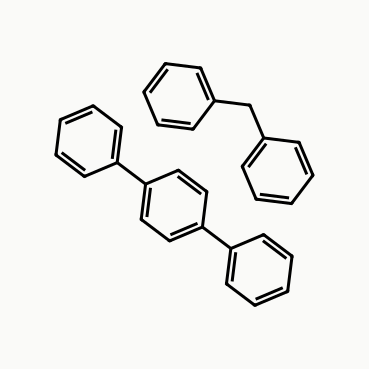 c1ccc(-c2ccc(-c3ccccc3)cc2)cc1.c1ccc(Cc2ccccc2)cc1